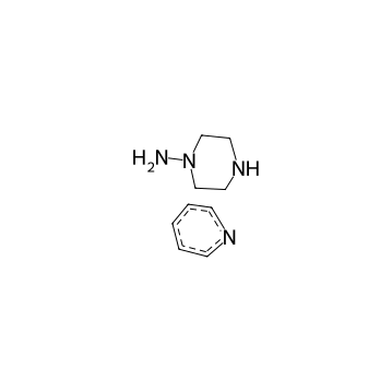 NN1CCNCC1.c1ccncc1